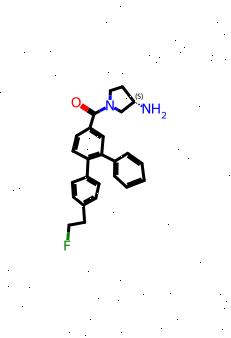 N[C@H]1CCN(C(=O)c2ccc(-c3ccc(CCF)cc3)c(-c3ccccc3)c2)C1